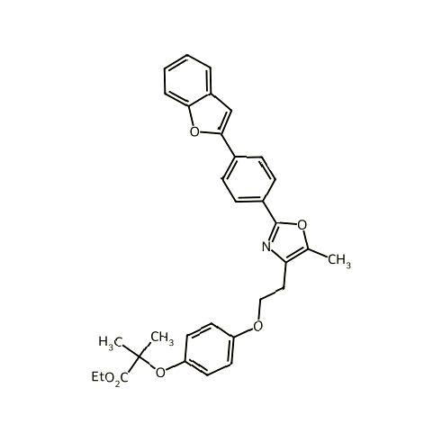 CCOC(=O)C(C)(C)Oc1ccc(OCCc2nc(-c3ccc(-c4cc5ccccc5o4)cc3)oc2C)cc1